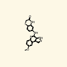 COc1ccc2nc(Nc3ccc4c(c3)NC(=O)CS4)c3[nH]ncc3c2c1